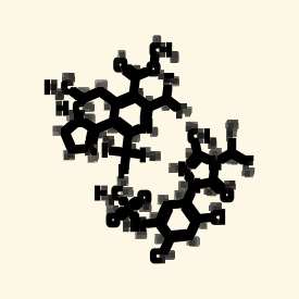 COC(=O)c1c(C(F)F)nc(C(F)(F)F)c(C2=NCCS2)c1CC(C)C.Cc1nn(-c2cc(NS(C)(=O)=O)c(Cl)cc2Cl)c(=O)n1C(F)F